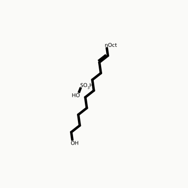 CCCCCCCCC=CCCCCCCCCO.O=S(=O)(O)O